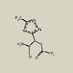 CCC(N)C(OC(=O)C(F)(F)F)c1noc(C(F)(F)F)n1